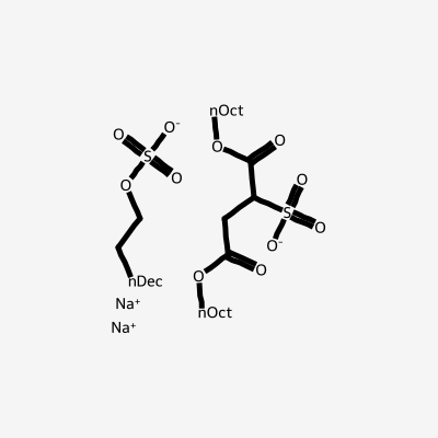 CCCCCCCCCCCCOS(=O)(=O)[O-].CCCCCCCCOC(=O)CC(C(=O)OCCCCCCCC)S(=O)(=O)[O-].[Na+].[Na+]